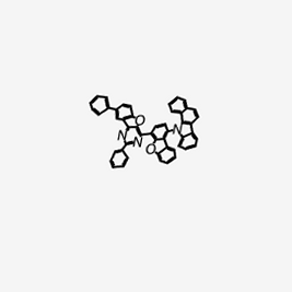 c1ccc(-c2ccc3oc4c(-c5ccc(-n6c7ccccc7c7ccc8ccccc8c76)c6c5oc5ccccc56)nc(-c5ccccc5)nc4c3c2)cc1